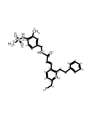 Cc1cc(CNC(=O)/C=C/c2ccc(CF)nc2CCc2ccccc2)ccc1NS(C)(=O)=O